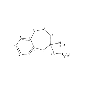 NC1(OC(=O)O)CCCc2ccccc2C1